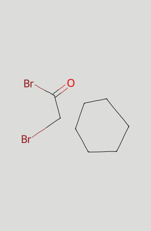 C1CCCCC1.O=C(Br)CBr